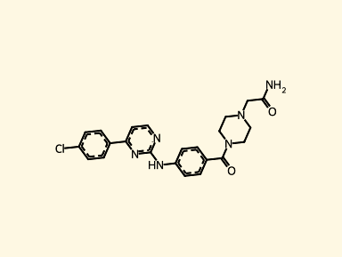 NC(=O)CN1CCN(C(=O)c2ccc(Nc3nccc(-c4ccc(Cl)cc4)n3)cc2)CC1